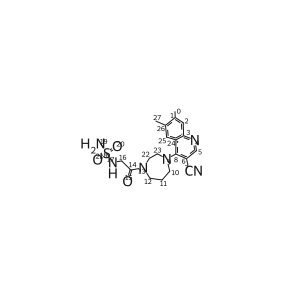 Cc1cc2ncc(C#N)c(N3CCCN(C(=O)CNS(N)(=O)=O)CC3)c2cc1C